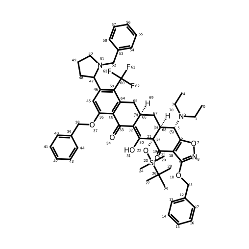 CCN(CC)[C@@H]1c2onc(OCc3ccccc3)c2C(=O)[C@@]2(O[Si](C)(C)C(C)(C)C)C(O)=C3C(=O)c4c(OCc5ccccc5)cc(C5CCCN5Cc5ccccc5)c(C(F)(F)F)c4C[C@H]3C[C@@H]12